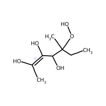 CCC(C)(OO)C(O)/C(O)=C(\C)O